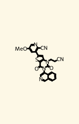 COc1cnc(C#N)c(-c2cc3c(s2)c(=O)n(-c2cncc4ccccc24)c(=O)n3CCC#N)c1